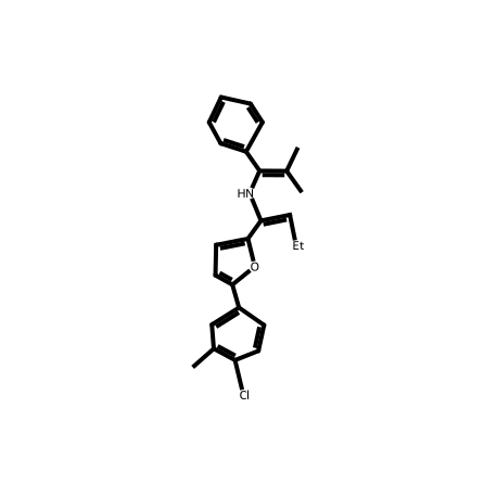 CC/C=C(/NC(=C(C)C)c1ccccc1)c1ccc(-c2ccc(Cl)c(C)c2)o1